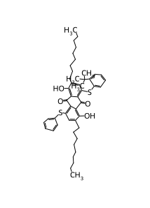 CCCCCCCCCc1cc(Sc2ccccc2)c2c(c1O)C(=O)c1c(Sc3ccccc3C(C)(C)C)cc(CCCCCCCCC)c(O)c1C2=O